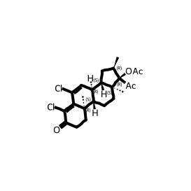 CC(=O)O[C@]1(C(C)=O)[C@H](C)C[C@H]2[C@@H]3C=C(Cl)C4=C(Cl)C(=O)CC[C@]4(C)[C@H]3CC[C@@]21C